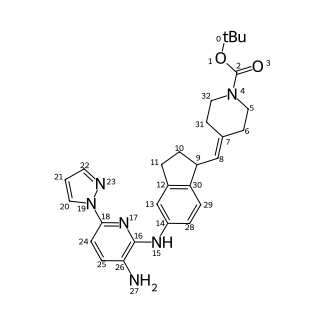 CC(C)(C)OC(=O)N1CCC(=CC2CCc3cc(Nc4nc(-n5cccn5)ccc4N)ccc32)CC1